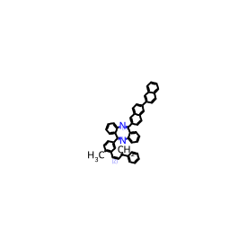 C=C(/C=C\c1cc(/C2=N/c3ccccc3/C(c3ccc4cc(-c5ccc6ccccc6c5)ccc4c3)=N\c3ccccc32)ccc1C)c1ccccc1